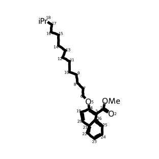 COC(=O)c1c(OCCCCCCCCCCCCC(C)C)ccc2ccccc12